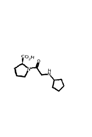 O=C(O)[C@@H]1CCCN1C(=O)CNC1CCCC1